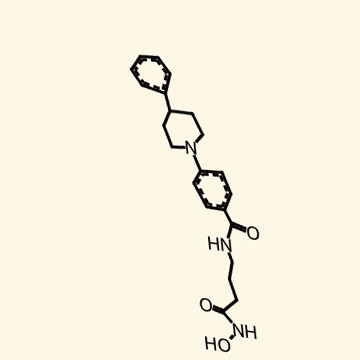 O=C(CCCNC(=O)c1ccc(N2CCC(c3ccccc3)CC2)cc1)NO